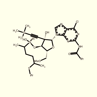 COC[C@H]1O[C@@H](n2cnc3c(Cl)nc(NC(=O)C(C)C)nc32)[C@](O)(C#C[Si](C)(C)C)[C@@H]1O[Si](O)(C(C)C)C(C)CCC(C)SC(C)C